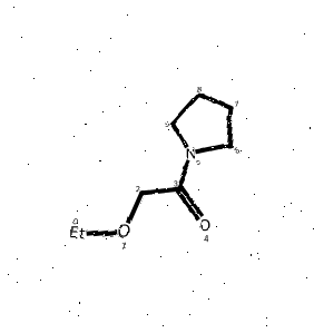 [CH2]COCC(=O)N1CCCC1